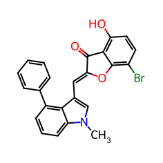 Cn1cc(C=C2Oc3c(Br)ccc(O)c3C2=O)c2c(-c3ccccc3)cccc21